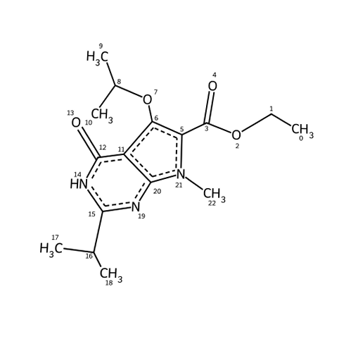 CCOC(=O)c1c(OC(C)C)c2c(=O)[nH]c(C(C)C)nc2n1C